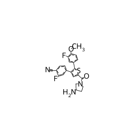 COc1ccc(-c2sc(C(=O)N3CC[C@@H](N)C3)cc2-c2ccc(C#N)c(F)c2)cc1F